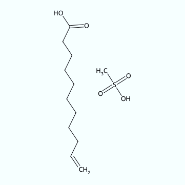 C=CCCCCCCCCC(=O)O.CS(=O)(=O)O